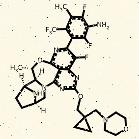 Cc1c(F)c(N)c(F)c(-c2nc3c4c(nc(OCC5(CN6CCOCC6)CC5)nc4c2F)N2C[C@H]4CC[C@H](N4)[C@H]2[C@H](C)O3)c1C(F)(F)F